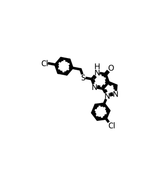 O=c1[nH]c(SCc2ccc(Cl)cc2)nc2c1cnn2-c1cccc(Cl)c1